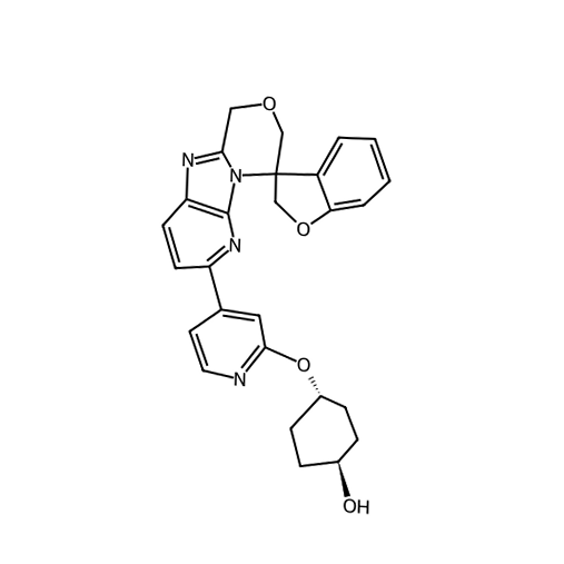 O[C@H]1CC[C@H](Oc2cc(-c3ccc4nc5n(c4n3)C3(COC5)COc4ccccc43)ccn2)CC1